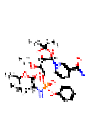 COC(COP(=O)(N[C@@H](C)C(=O)OC(C)C)Oc1ccccc1)[C@H]1OC(C)(C)O[C@H]1N1C=CCC(C(N)=O)=C1